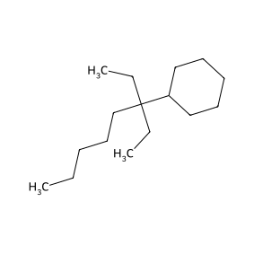 CCCCCC(CC)(CC)C1CCCCC1